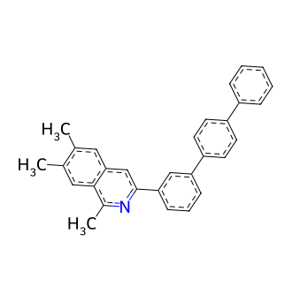 Cc1cc2cc(-c3cccc(-c4ccc(-c5ccccc5)cc4)c3)nc(C)c2cc1C